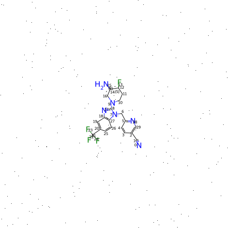 N#Cc1ccc(Cn2c(N3CC[C@H](F)[C@H](N)C3)nc3cc(C(F)(F)F)ccc32)nc1